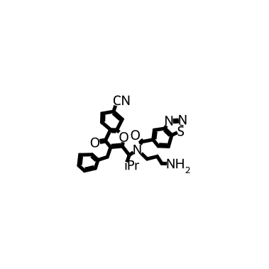 CC(C)C(c1oc2cc(C#N)ccc2c(=O)c1Cc1ccccc1)N(CCCN)C(=O)c1ccc2snnc2c1